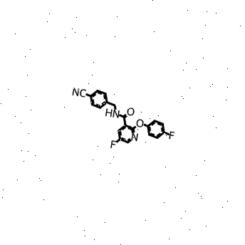 N#Cc1ccc(CNC(=O)c2cc(F)cnc2Oc2ccc(F)cc2)cc1